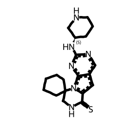 S=C1NCC2(CCCCC2)n2c1cc1cnc(N[C@H]3CCCNC3)nc12